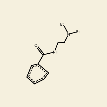 CCN(CC)CCNC(=O)c1ccccc1